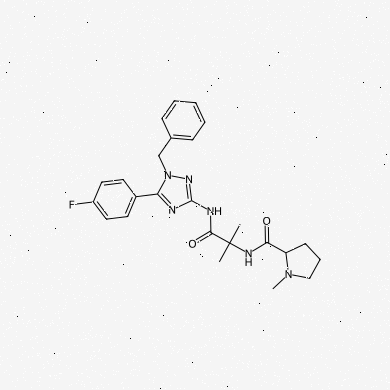 CN1CCCC1C(=O)NC(C)(C)C(=O)Nc1nc(-c2ccc(F)cc2)n(Cc2ccccc2)n1